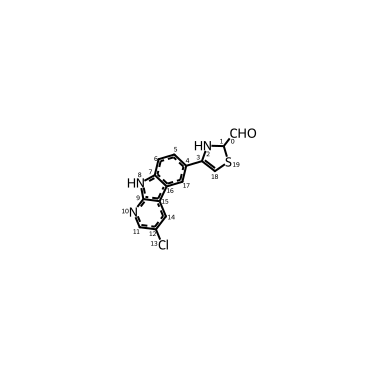 O=CC1NC(c2ccc3[nH]c4ncc(Cl)cc4c3c2)=CS1